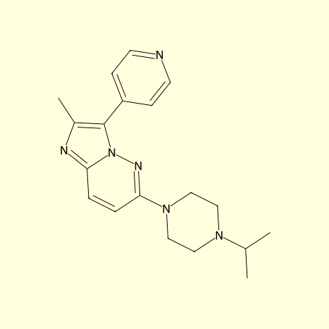 Cc1nc2ccc(N3CCN(C(C)C)CC3)nn2c1-c1ccncc1